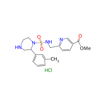 COC(=O)c1ccc(CNS(=O)(=O)N2CCNCC2c2cccc(C)c2)nc1.Cl